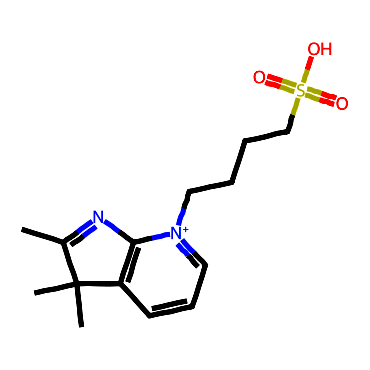 CC1=Nc2c(ccc[n+]2CCCCS(=O)(=O)O)C1(C)C